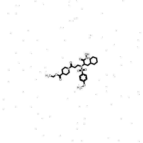 CCOC(=O)C1CCN(C(=O)CCN(C(CC2CCCCC2)C(=O)NO)S(=O)(=O)c2ccc(OC)cc2)CC1